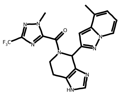 Cc1cccn2nc(C3c4nc[nH]c4CCN3C(=O)c3nc(C(F)(F)F)nn3C)cc12